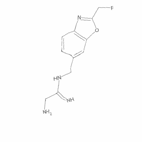 N=C(CN)NCc1ccc2nc(CF)oc2c1